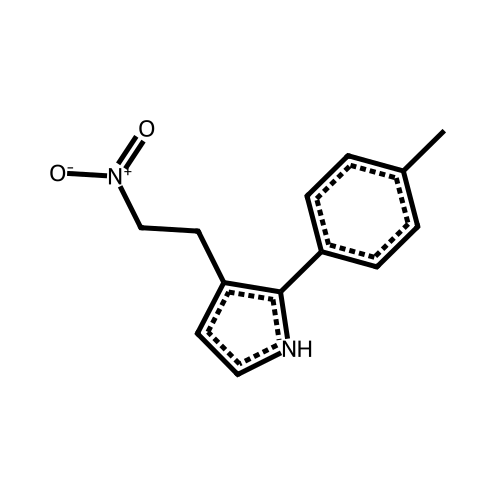 Cc1ccc(-c2[nH]ccc2CC[N+](=O)[O-])cc1